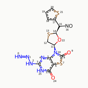 N=NNc1nc2c(sc(=O)n2[C@H]2CS[C@@H](C(N=O)c3cccs3)O2)c(=O)[nH]1